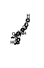 C=CCn1c(=O)c2cnc(Nc3ccc4c(c3)CCC3(CCN(C5CCNCC5)CC3)O4)nc2n1C1=NC2C(C=C1)CC[C@]2(O)CC